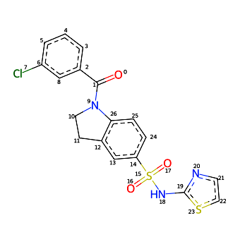 O=C(c1cccc(Cl)c1)N1CCc2cc(S(=O)(=O)Nc3nccs3)ccc21